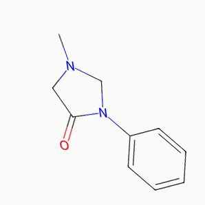 CN1CC(=O)N(c2ccccc2)C1